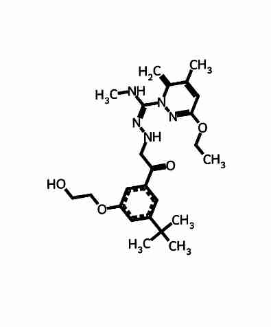 C=C1C(C)=CC(OCC)=NN1/C(=N\NCC(=O)c1cc(OCCO)cc(C(C)(C)C)c1)NC